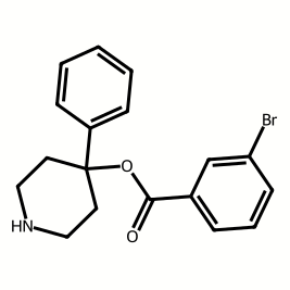 O=C(OC1(c2ccccc2)CCNCC1)c1cccc(Br)c1